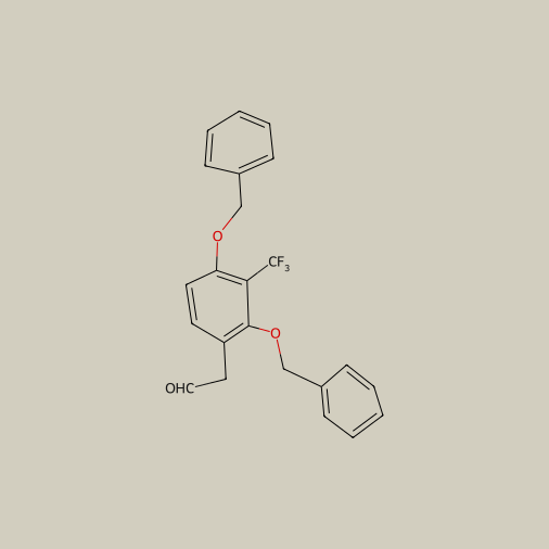 O=CCc1ccc(OCc2ccccc2)c(C(F)(F)F)c1OCc1ccccc1